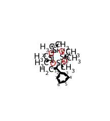 C=C(c1ccccc1)[Si]1(C)O[Si](C)(C)O[Si](C)(C)O[Si](C)(C)O1